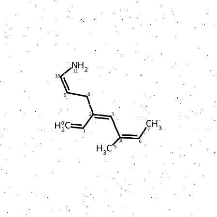 C=C/C(=C\C(C)=C/C)C/C=C\N